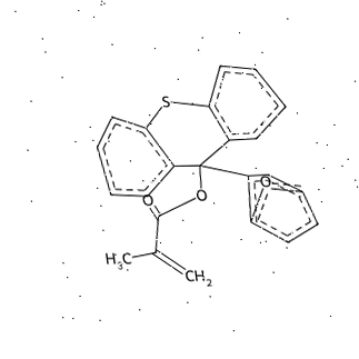 C=C(C)C(=O)OC1(c2cc3ccc2o3)c2ccccc2Sc2ccccc21